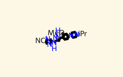 COc1cc(N2CCN(C(C)C)CC2)ccc1-c1cc(Nc2cnc(C#N)cn2)n[nH]1